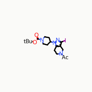 CC(=O)N1CCc2c(c(I)nn2C2CCN(C(=O)OC(C)(C)C)CC2)C1